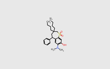 CCCCC1(CCCC)CC(c2ccccc2)c2cc(N(C)C)c(O)cc2S(=O)(=O)C1